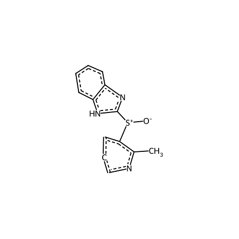 Cc1ncccc1[S+]([O-])c1nc2ccccc2[nH]1